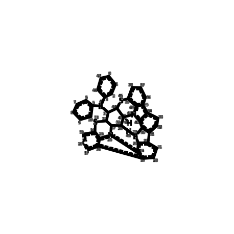 c1ccc(B(c2ccccc2)C2C3Sc4cccc5c6ccc7c8c6n(c45)C3[C@@H]3B8c4c-7ccc5c6cccc7c6n(c45)[C@@H]3C2S7)cc1